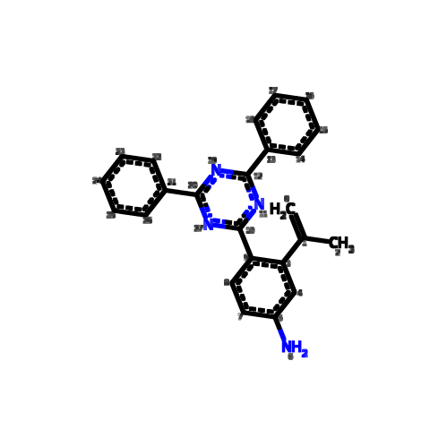 C=C(C)c1cc(N)ccc1-c1nc(-c2ccccc2)nc(-c2ccccc2)n1